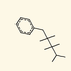 CC(C)C(C)(C)C(C)(C)Cc1cc[c]cc1